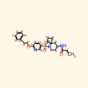 C=CC(=O)NC1CCN(S(=O)(=O)c2ccc(OCCc3ccccc3)nc2)C2(CCC2)C1